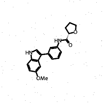 COc1ccc2[nH]cc(-c3cccc(NC(=O)[C@@H]4CCCO4)c3)c2c1